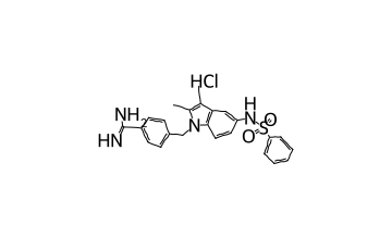 Cc1c(C)n(Cc2ccc(C(=N)N)cc2)c2ccc(NS(=O)(=O)c3ccccc3)cc12.Cl